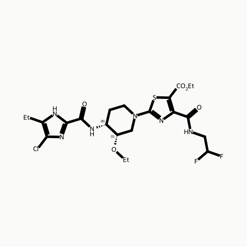 CCOC(=O)c1sc(N2CC[C@@H](NC(=O)c3nc(Cl)c(CC)[nH]3)[C@@H](OCC)C2)nc1C(=O)NCC(F)F